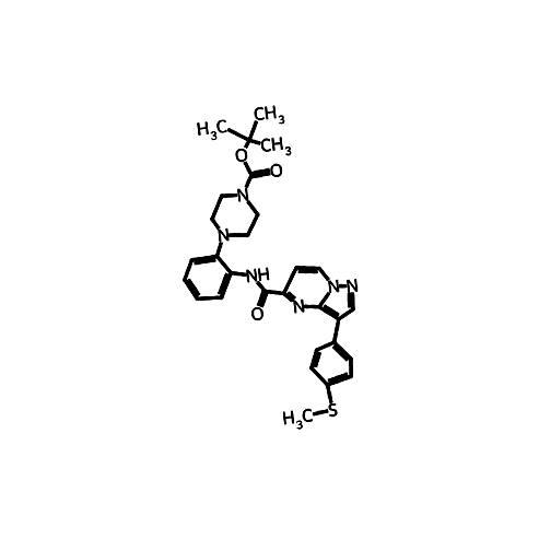 CSc1ccc(-c2cnn3ccc(C(=O)Nc4ccccc4N4CCN(C(=O)OC(C)(C)C)CC4)nc23)cc1